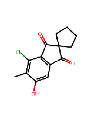 Cc1c(O)cc2c(c1Cl)C(=O)C1(CCCC1)C2=O